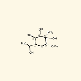 CO[C@@H]1O[C@H](C(C)O)[C@@H](O)[C@H](O)[C@@]1(C)O